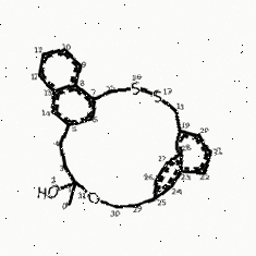 CC1(O)CCc2cc(c3ccccc3c2)CSSCc2cccc3cc(ccc23)CCO1